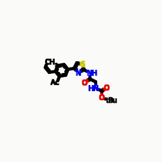 C/C=C\c1ccc(-c2csc(NC(=O)CNC(=O)OC(C)(C)C)n2)cc1C(C)=O